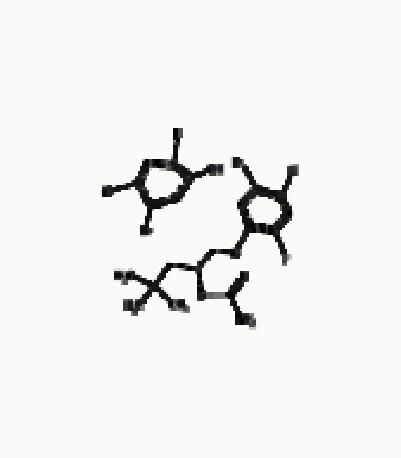 CC(C)(C)CC(COc1cc(Br)c(Cl)cc1F)OC(N)=O.Oc1cc(Br)c(Cl)cc1F